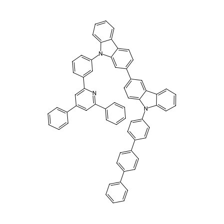 c1ccc(-c2ccc(-c3ccc(-n4c5ccccc5c5cc(-c6ccc7c8ccccc8n(-c8cccc(-c9cc(-c%10ccccc%10)cc(-c%10ccccc%10)n9)c8)c7c6)ccc54)cc3)cc2)cc1